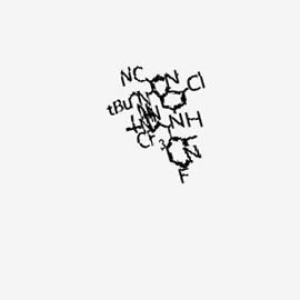 Cc1nc(F)ccc1C(Nc1cc(Cl)c2ncc(C#N)c(NCC(C)(C)C)c2c1)c1cn(C(C)(C)C(F)(F)F)nn1